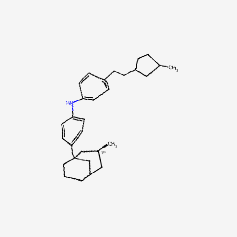 CC1CCC(CCc2ccc(Nc3ccc(C45CCCC(C[C@H](C)C4)C5)cc3)cc2)C1